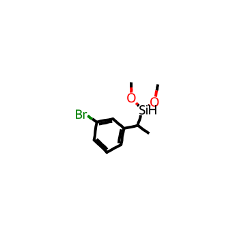 CO[SiH](OC)C(C)c1cccc(Br)c1